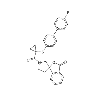 O=C1OC2(CCN(C(=O)C3(Sc4ccc(-c5ccc(F)cc5)cc4)CC3)C2)c2ccccc21